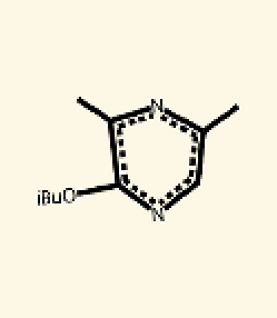 Cc1cnc(OCC(C)C)c(C)n1